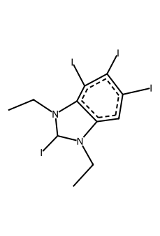 CCN1c2cc(I)c(I)c(I)c2N(CC)C1I